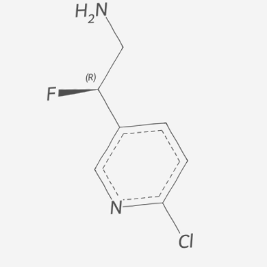 NC[C@H](F)c1ccc(Cl)nc1